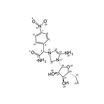 NC(=O)C(c1ccc([N+](=O)[O-])cc1)N1C=C(N)N([C@@H]2O[C@H](CI)[C@@H](O)[C@H]2O)C1